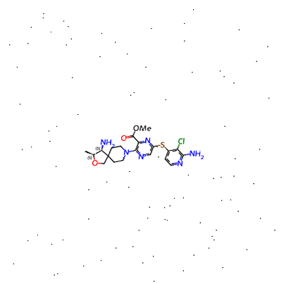 COC(=O)c1nc(Sc2ccnc(N)c2Cl)cnc1N1CCC2(CC1)CO[C@@H](C)[C@H]2N